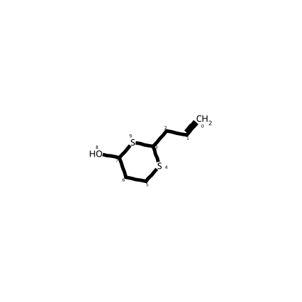 C=CCC1SCCC(O)S1